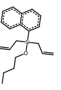 C=CC[Si](CC=C)(OCCCC)c1cccc2ccccc12